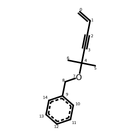 C=CC#CC(C)(C)OCc1ccccc1